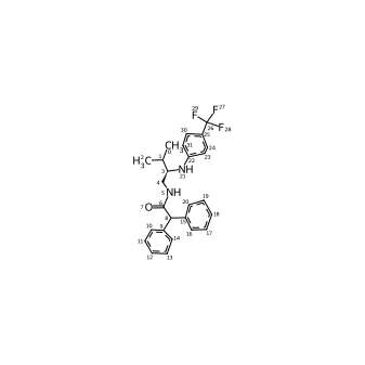 CC(C)[C@H](CNC(=O)C(c1ccccc1)c1ccccc1)Nc1ccc(C(F)(F)F)cc1